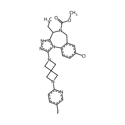 CCC1c2nnc(N3CC4(CN(c5ccc(F)cn5)C4)C3)n2-c2ccc(Cl)cc2CN1C(=O)OC